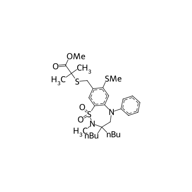 CCCCC1(CCCC)CN(c2ccccc2)c2cc(SC)c(CSC(C)(C)C(=O)OC)cc2S(=O)(=O)N1C